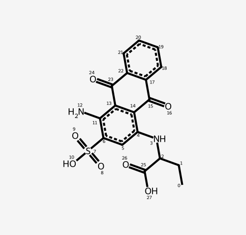 CCC(Nc1cc(S(=O)(=O)O)c(N)c2c1C(=O)c1ccccc1C2=O)C(=O)O